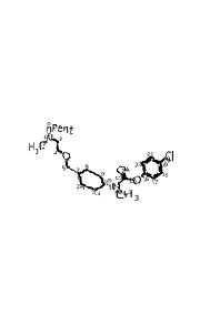 CCCCCN(C)CCOC[C@H]1CC[C@H](N(C)C(=O)Oc2ccc(Cl)cc2)CC1